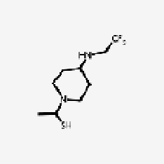 CC(S)N1CCC(NCC(F)(F)F)CC1